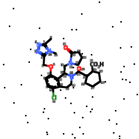 Cc1nnc(COc2ccc(Cl)c3c2[C@@H](CN2CCCC2=O)N(C(=O)C2CCCCC2C(=O)O)CC3)n1C